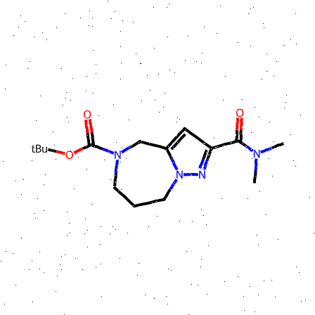 CN(C)C(=O)c1cc2n(n1)CCCN(C(=O)OC(C)(C)C)C2